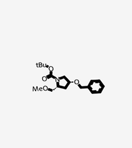 COC[C@H]1C[C@@H](OCc2ccccc2)CN1C(=O)OC(C)(C)C